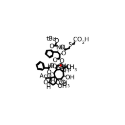 CC(=O)O[C@@]12CO[C@@H]1C[C@H](O)[C@@]1(C)C(=O)[C@H](O)[C@@H]3C(C)C(OC(=O)[C@H](OC(=O)CSCC(=O)O)[C@@H](NC(=O)OC(C)(C)C)c4ccccc4)C[C@@](O)([C@@H](OC(=O)c4ccccc4)[C@H]21)C3(C)C